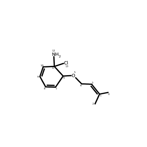 CC(C)=CCOC1C=CC=CC1(N)Cl